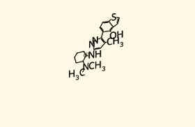 Cc1cc(N[C@H]2CCCCC2N(C)C)nnc1-c1ccc2sccc2c1O